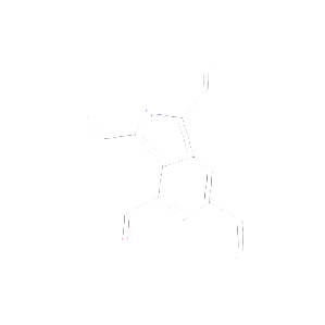 O=Cc1cc(C=O)c2c(C=O)[nH]c(C=O)c2c1